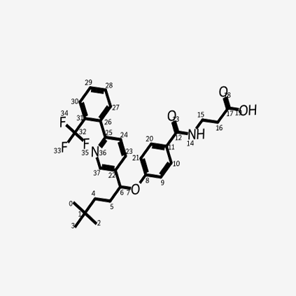 CC(C)(C)CCC(Oc1ccc(C(=O)NCCC(=O)O)cc1)c1ccc(-c2ccccc2C(F)(F)F)nc1